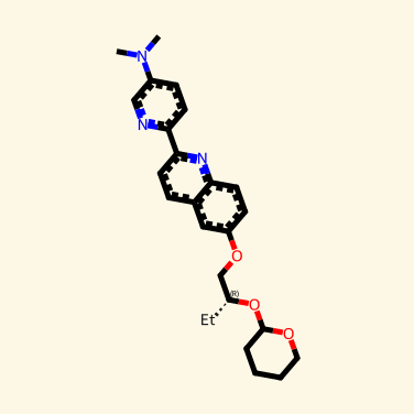 CC[C@H](COc1ccc2nc(-c3ccc(N(C)C)cn3)ccc2c1)OC1CCCCO1